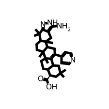 CC1(C)CC2C3=C(c4ccncc4)CC4C5(C)Cc6c(n[nH]c6N)C(C)(C)C5CCC4(C)C3(C)CCC2[C@H](C(=O)O)C1